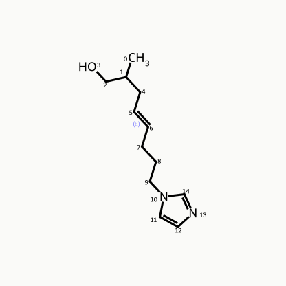 CC(CO)C/C=C/CCCn1ccnc1